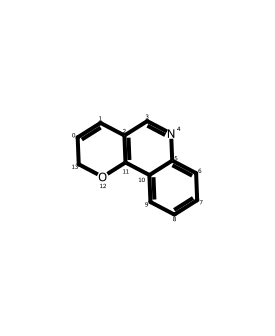 C1=Cc2cnc3ccccc3c2OC1